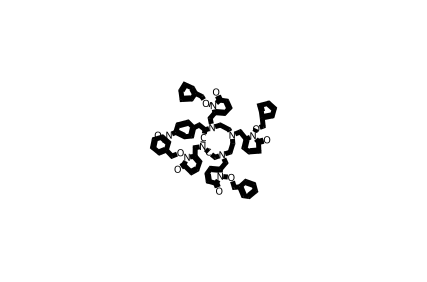 O=c1cccc(CN2CCN(Cc3cccc(=O)n3OCc3ccccc3)CCN(Cc3cccc(=O)n3OCc3ccccc3)C(Cc3ccc([N+](=O)[O-])cc3)CN(Cc3cccc(=O)n3OCc3ccccc3)CC2)n1OCc1ccccc1